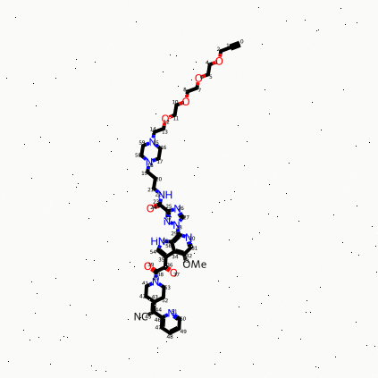 C#CCOCCOCCOCCOCCN1CCN(CCCNC(=O)c2ncn(-c3ncc(OC)c4c(C(=O)C(=O)N5CCC(=C(C#N)c6ccccn6)CC5)c[nH]c34)n2)CC1